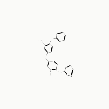 O=[N+]([O-])c1cc(Sc2ccc(Sc3ccccc3)c([N+](=O)[O-])c2)ccc1Sc1ccccc1